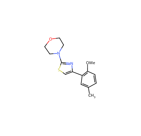 COc1ccc(C)cc1-c1csc(N2CCOCC2)n1